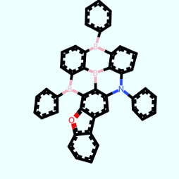 c1ccc(B2c3cccc4c3B3c5c2cccc5N(c2ccccc2)c2cc5c(oc6ccccc65)c(c23)B4c2ccccc2)cc1